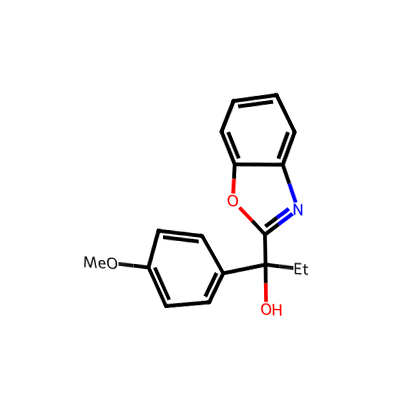 CCC(O)(c1ccc(OC)cc1)c1nc2ccccc2o1